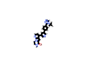 CN1CCn2c(cc3c(-c4cncc(-c5ccc(-c6nncn6C(C)(C)C)cc5)c4)ccnc32)C1=O